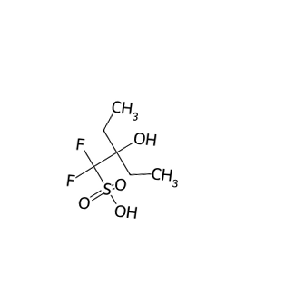 CCC(O)(CC)C(F)(F)S(=O)(=O)O